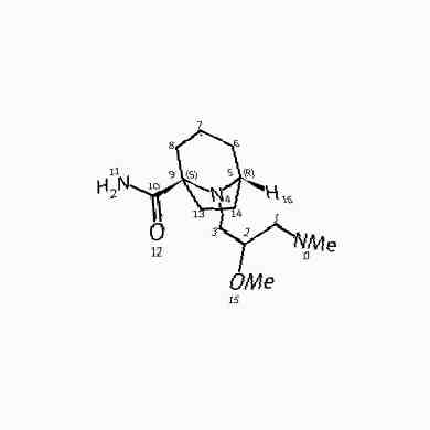 CNCC(CN1[C@@H]2C[CH]C[C@@]1(C(N)=O)CC2)OC